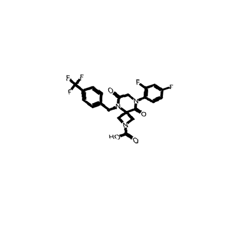 O=C(O)N1CC2(C1)C(=O)N(c1ccc(F)cc1F)CC(=O)N2Cc1ccc(C(F)(F)F)cc1